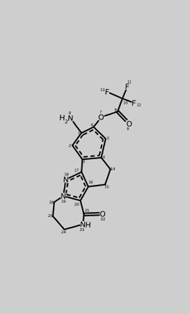 Nc1cc2c(cc1OC(=O)C(F)(F)F)CCc1c-2nn2c1C(=O)NCCC2